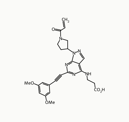 C=CC(=O)N1CCC(n2ncc3c(NCCC(=O)O)nc(C#Cc4cc(OC)cc(OC)c4)nc32)C1